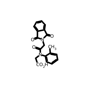 Cc1ccccc1N(CC(=O)O)C(=O)CN1C(=O)c2ccccc2C1=O